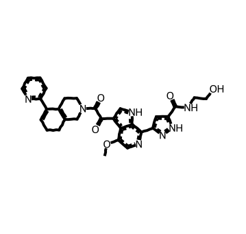 COc1cnc(-c2cc(C(=O)NCCO)[nH]n2)c2[nH]cc(C(=O)C(=O)N3CCC4=C(CCC=C4c4ccccn4)C3)c12